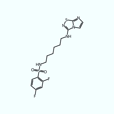 O=S(=O)(NCCCCCCNc1nsc2nccn12)c1ccc(F)cc1F